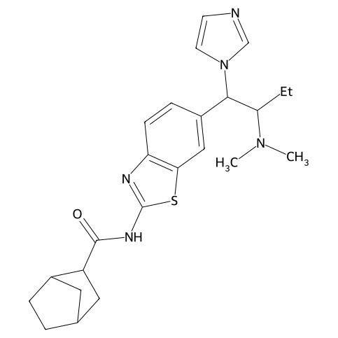 CCC(C(c1ccc2nc(NC(=O)C3CC4CCC3C4)sc2c1)n1ccnc1)N(C)C